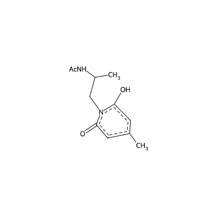 CC(=O)NC(C)Cn1c(O)cc(C)cc1=O